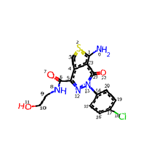 Nc1scc2c(C(=O)NCCO)nn(-c3ccc(Cl)cc3)c(=O)c12